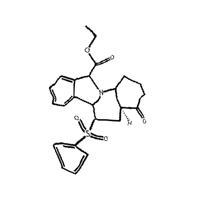 CCOC(=O)C1c2ccccc2C2C(S(=O)(=O)c3ccccc3)C[C@@H]3C(=O)CCCC3N12